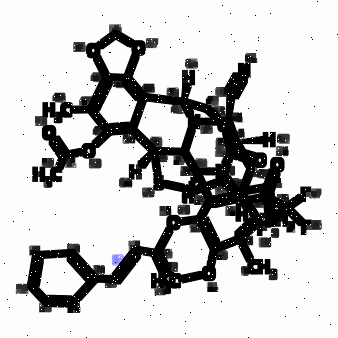 C=CCN1[C@@H]2Cc3cc(C)c(OC)c(OC(=O)/C=C/c4ccccc4)c3[C@H]1C1[C@@H]3SCC(NC(=O)C(F)(F)F)C(=O)OC[C@@H](c4c5c(c(C)c(OC(C)=O)c43)OCO5)N1[C@H]2C#N